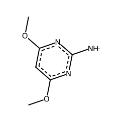 COc1cc(OC)nc([NH])n1